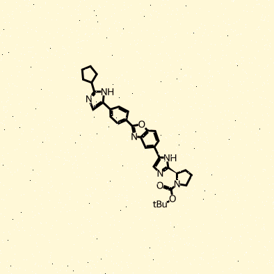 CC(C)(C)OC(=O)N1CCC[C@@H]1c1ncc(-c2ccc3oc(-c4ccc(-c5cnc(C6CCCC6)[nH]5)cc4)nc3c2)[nH]1